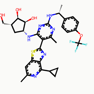 Cc1cc2sc(-c3c(C)nc(N[C@H](C)c4ccc(OC(F)(F)F)cc4)nc3N[C@@H]3C[C@H](CO)[C@@H](O)[C@H]3O)nc2c(C2CC2)n1